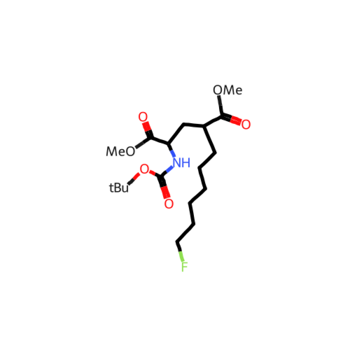 COC(=O)C(CCCCCCF)CC(NC(=O)OC(C)(C)C)C(=O)OC